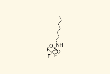 CCCCCCCNS(=O)(=O)C(F)(F)F